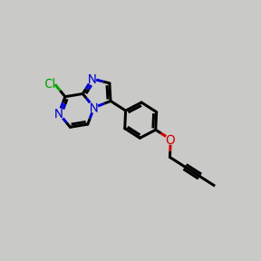 CC#CCOc1ccc(-c2cnc3c(Cl)nccn23)cc1